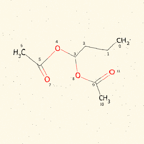 [CH2]CCC(OC(C)=O)OC(C)=O